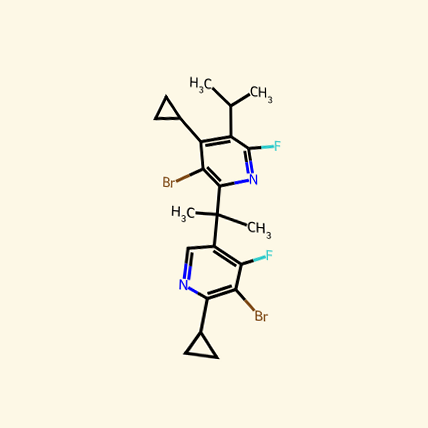 CC(C)c1c(F)nc(C(C)(C)c2cnc(C3CC3)c(Br)c2F)c(Br)c1C1CC1